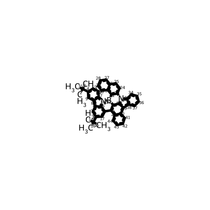 CC(C)(C)c1ccc2c(c1)c1cc(C(C)(C)C)cc3c1n2B1c2c(ccc4ccccc24)-n2c4ccccc4c4c5ccccc5c-3c1c42